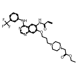 C=CC(=O)Nc1cc2c(Nc3cccc(C(F)(F)F)c3)ncnc2cc1OCCCN1CCN(CC(=O)OCC)CC1